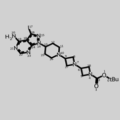 CC(C)(C)OC(=O)N1CC(N2CC(N3CCC(n4nc(I)c5c(N)ncnc54)CC3)C2)C1